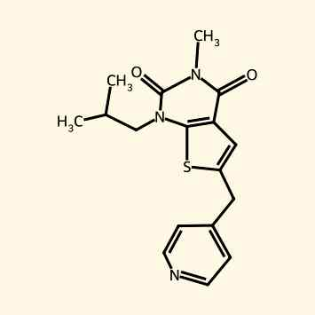 CC(C)Cn1c(=O)n(C)c(=O)c2cc(Cc3ccncc3)sc21